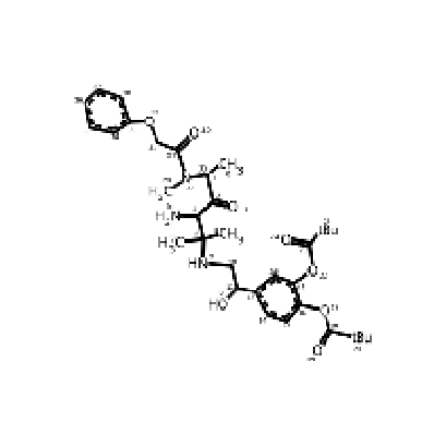 C[C@@H](C(=O)C(N)C(C)(C)NCC(O)c1ccc(OC(=O)C(C)(C)C)c(OC(=O)C(C)(C)C)c1)N(C)C(=O)COc1ccccc1